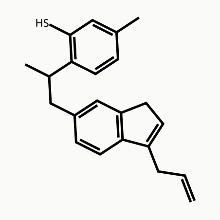 C=CCC1=CCc2cc(CC(C)c3ccc(C)cc3S)ccc21